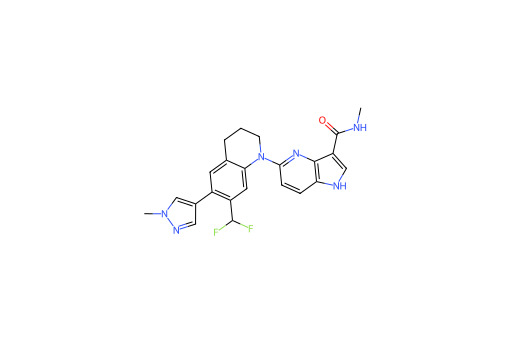 CNC(=O)c1c[nH]c2ccc(N3CCCc4cc(-c5cnn(C)c5)c(C(F)F)cc43)nc12